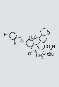 Cc1c(-c2c(C(OC(C)(C)C)C(=O)O)n(C)c(=O)c3cc(OCc4ccc(F)cc4F)ccc23)ccc2c1CCCO2